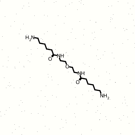 NCCCCCC(=O)NCCOCCNC(=O)CCCCCN